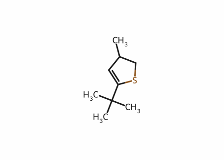 CC1C=C(C(C)(C)C)SC1